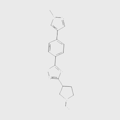 Cn1cc(-c2ccc(-c3nc(C4CCN(C#N)C4)no3)cc2)cn1